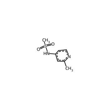 Cc1cc(NS(C)(=O)=O)ccn1